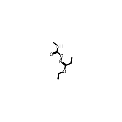 CCOC(CC)=NOC(=O)NC